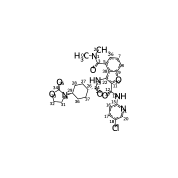 CN(C)C(=O)c1cccc2oc(C(=O)Nc3ccc(Cl)cn3)c(NC(=O)[C@H]3CC[C@H](N4CCOC4=O)CC3)c12